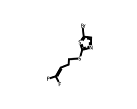 FC(F)=CCCSc1ncc(Br)s1